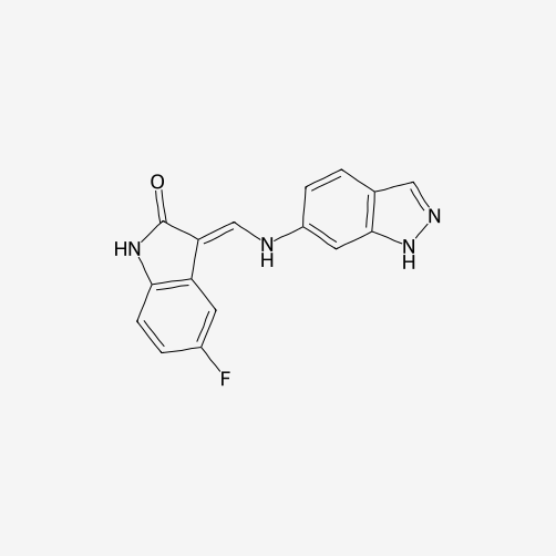 O=C1Nc2ccc(F)cc2/C1=C\Nc1ccc2cn[nH]c2c1